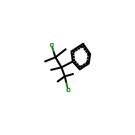 CC(C)(Cl)C(C)(c1ccccc1)C(C)(C)Cl